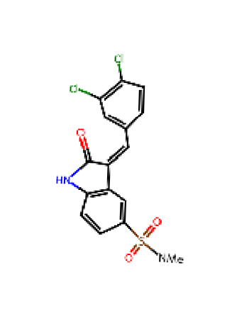 CNS(=O)(=O)c1ccc2c(c1)C(=Cc1ccc(Cl)c(Cl)c1)C(=O)N2